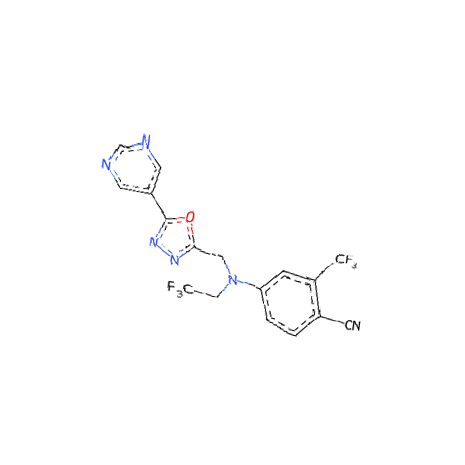 N#Cc1ccc(N(Cc2nnc(-c3cncnc3)o2)CC(F)(F)F)cc1C(F)(F)F